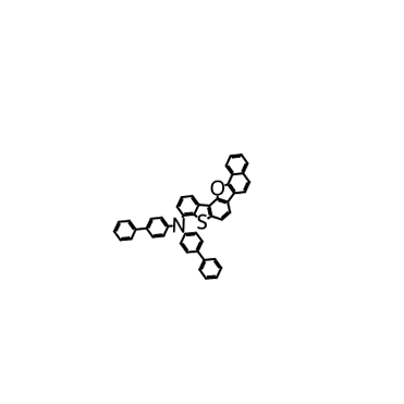 c1ccc(-c2ccc(N(c3ccc(-c4ccccc4)cc3)c3cccc4c3sc3ccc5c6ccc7ccccc7c6oc5c34)cc2)cc1